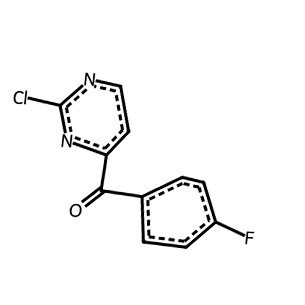 O=C(c1ccc(F)cc1)c1ccnc(Cl)n1